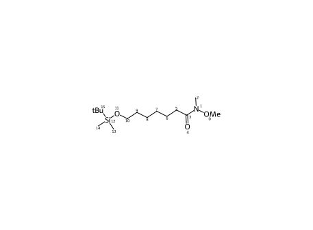 CON(C)C(=O)CCCCCCO[Si](C)(C)C(C)(C)C